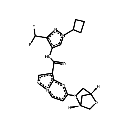 O=C(Nc1cn(C2CCC2)nc1C(F)F)c1cnn2ccc(N3C[C@H]4C[C@@H]3CO4)nc12